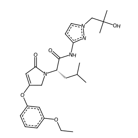 CCOc1cccc(OC2=CC(=O)N([C@@H](CC(C)C)C(=O)Nc3ccn(CC(C)(C)O)n3)C2)c1